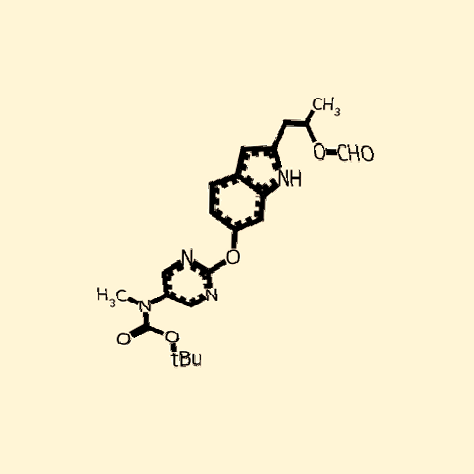 CC(Cc1cc2ccc(Oc3ncc(N(C)C(=O)OC(C)(C)C)cn3)cc2[nH]1)OC=O